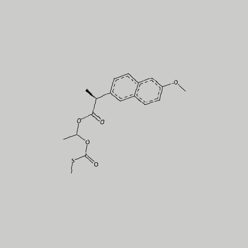 COc1ccc2cc([C@H](C)C(=O)OC(C)OC(=O)SC)ccc2c1